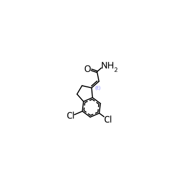 NC(=O)/C=C1\CCc2c(Cl)cc(Cl)cc21